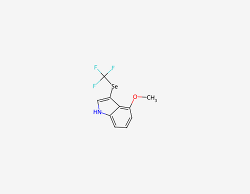 COc1cccc2[nH]cc([Se]C(F)(F)F)c12